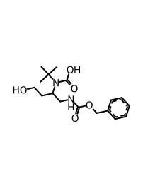 CC(C)(C)N(C(=O)O)C(CCO)CNC(=O)OCc1ccccc1